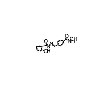 O=C(NO)c1ccc(/C=N/NC(=O)c2ccccc2Cl)cc1